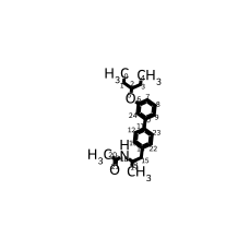 CCC(CC)Oc1cccc(-c2ccc(CC(C)NC(C)=O)cc2)c1